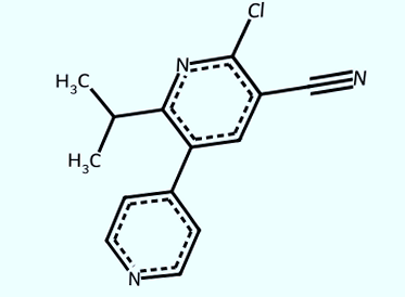 CC(C)c1nc(Cl)c(C#N)cc1-c1ccncc1